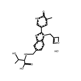 Cc1cc(-c2nc3cc(CNC(C(=O)O)C(C)O)ccc3n2CC2=COC2)c[nH]c1=O.Cl